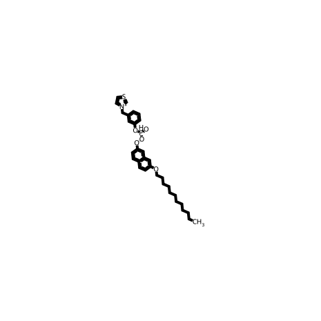 CCCCCCCCCCCCOc1ccc2ccc(OO[PH](=O)Oc3cccc(C[n+]4ccsc4)c3)cc2c1